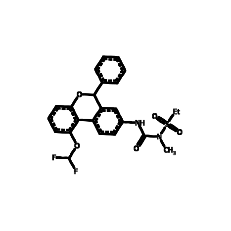 CCS(=O)(=O)N(C)C(=O)Nc1ccc2c(c1)C(c1ccccc1)Oc1cccc(OC(F)F)c1-2